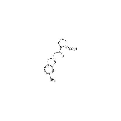 Nc1ccc2c(c1)C=C(CC(=O)N1CCC[C@H]1C(=O)O)C2